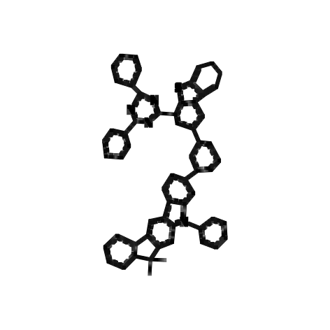 CC1(C)c2ccccc2-c2cc3c4ccc(-c5cccc(-c6cc(-c7nc(-c8ccccc8)nc(-c8ccccc8)n7)c7sc8c(c7c6)=CCCC=8)c5)cc4n(-c4ccccc4)c3cc21